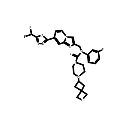 O=C(N1CCN(C2CC3(COC3)C2)CC1)N(Cc1cn2ccc(-c3nnc(C(F)F)o3)cc2n1)c1cccc(F)c1